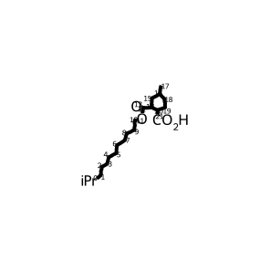 CC(C)CCCCCCCCCCOC(=O)C1CC(C)CCC1C(=O)O